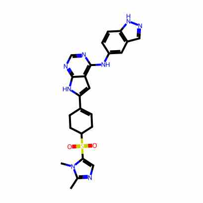 Cc1ncc(S(=O)(=O)C2CC=C(c3cc4c(Nc5ccc6[nH]ncc6c5)ncnc4[nH]3)CC2)n1C